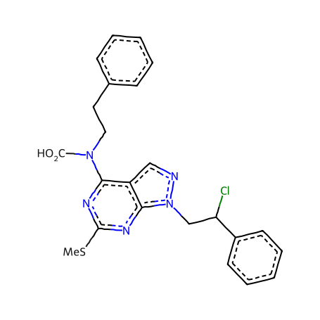 CSc1nc(N(CCc2ccccc2)C(=O)O)c2cnn(CC(Cl)c3ccccc3)c2n1